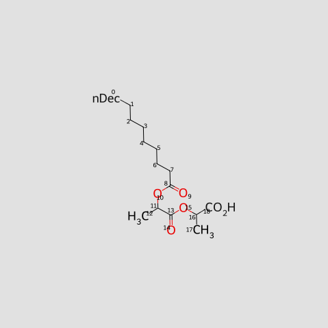 CCCCCCCCCCCCCCCCCC(=O)OC(C)C(=O)OC(C)C(=O)O